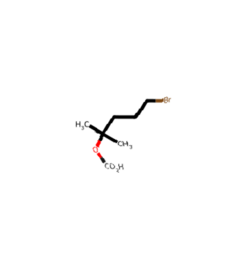 CC(C)(CCCBr)OC(=O)O